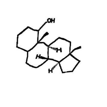 C[C@@]12CCC[C@H]1[C@@H]1CCC3CCCC(O)[C@]3(C)[C@H]1CC2